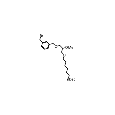 CCCCCCCCCCCCCCCCOCC(COCc1cccc(CBr)c1)OC